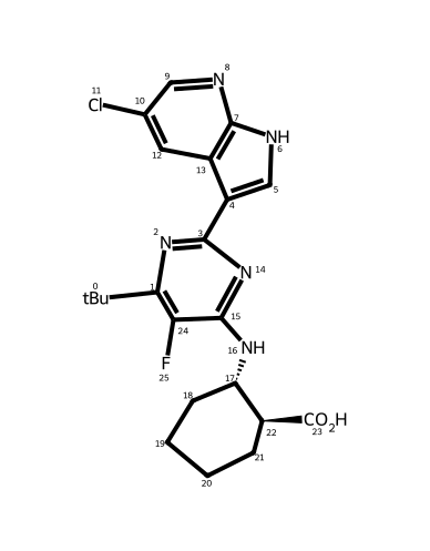 CC(C)(C)c1nc(-c2c[nH]c3ncc(Cl)cc23)nc(N[C@H]2CCCC[C@@H]2C(=O)O)c1F